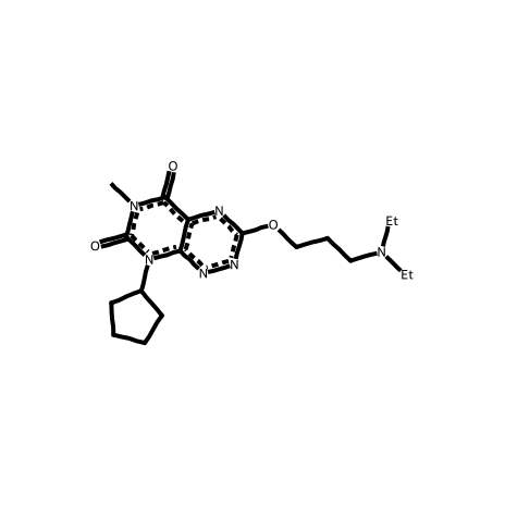 CCN(CC)CCCOc1nnc2c(n1)c(=O)n(C)c(=O)n2C1CCCC1